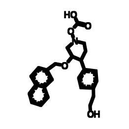 O=C(O)ON1CCC(c2ccc(CCO)cc2)C(OCc2ccc3ccccc3c2)C1